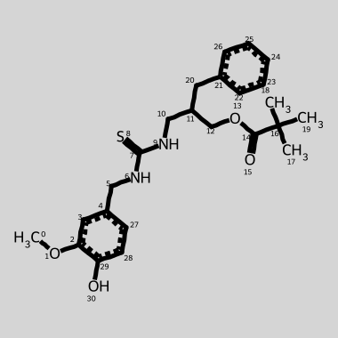 COc1cc(CNC(=S)NCC(COC(=O)C(C)(C)C)Cc2ccccc2)ccc1O